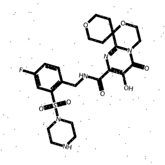 O=C(NCc1ccc(F)cc1S(=O)(=O)N1CCNCC1)c1nc2n(c(=O)c1O)CCOC21CCOCC1